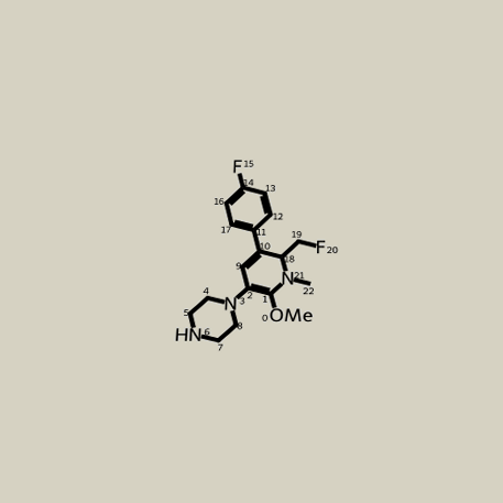 COC1=C(N2CCNCC2)C=C(c2ccc(F)cc2)C(CF)N1C